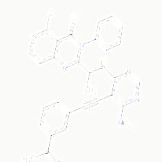 CC(=O)c1cccc(C#Cc2c(N)ncnc2NC(C)c2nc3cccc(Cl)c3c(=O)n2-c2ccccc2)c1